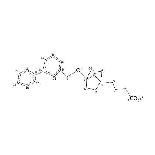 O=C(O)CCCC12CCC(OCc3cccc(-c4ccccc4)c3)(CC1)C2